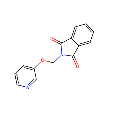 O=C1c2ccccc2C(=O)N1COc1cccnc1